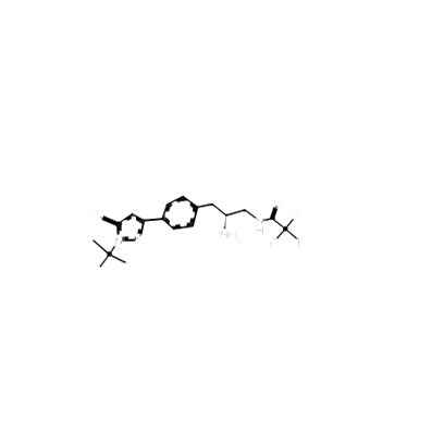 CC(C)(C)n1sc(-c2ccc(C[C@H](N)CNC(=O)C(F)(F)F)cc2)cc1=O